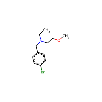 CCN(CCOC)Cc1ccc(Br)cc1